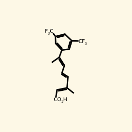 CC(C=CC=C(C)c1cc(C(F)(F)F)cc(C(F)(F)F)c1)=CC(=O)O